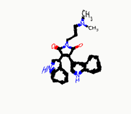 CN(C)CCCN1C(=O)C(c2c[nH]c3ccccc23)=C(c2c[nH]c3ccccc23)C1=O